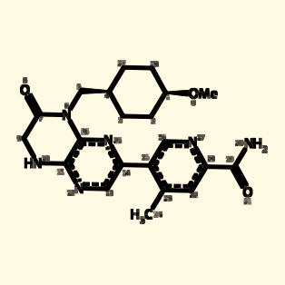 CO[C@H]1CC[C@@H](CN2C(=O)CNc3ncc(-c4cnc(C(N)=O)cc4C)nc32)CC1